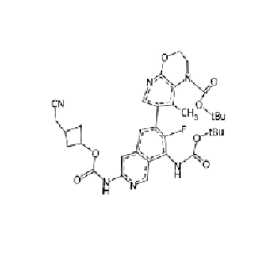 Cc1c(-c2cc3cc(NC(=O)OC4CC(CC#N)C4)ncc3c(NC(=O)OC(C)(C)C)c2F)cnc2c1N(C(=O)OC(C)(C)C)CCO2